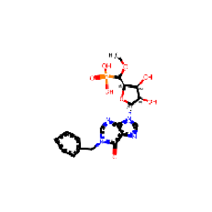 COC([C@@H]1O[C@@H](n2cnc3c(=O)n(Cc4ccccc4)cnc32)[C@H](O)[C@@H]1O)P(=O)(O)O